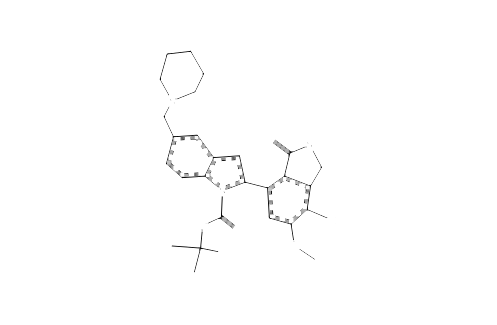 COc1cc(-c2cc3cc(CN4CCCCC4)ccc3n2C(=O)OC(C)(C)C)c2c(c1Cl)CNC2=O